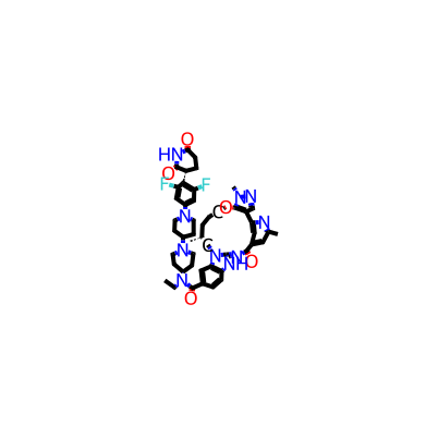 CCN(C(=O)c1ccc2c(c1)N1C[C@H](C)CCCOc3c(cnn3C)-c3cc(cc(C)n3)C(=O)/N=C/1N2)C1CCN(C2CCN(c3cc(F)c([C@H]4CCC(=O)NC4=O)c(F)c3)CC2)CC1